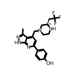 Cc1n[nH]c2nc(-c3ccc(O)cc3)cc(CN3CCN[C@H](CC(F)(F)F)C3)c12